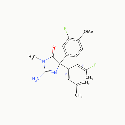 C=C(C)/C=C(\C=C(/C)F)C1(c2ccc(OC)c(F)c2)N=C(N)N(C)C1=O